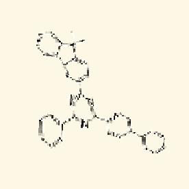 CC1(C)c2ccccc2-c2cc(-c3nc(-c4ccccc4)nc(-c4ccc(-c5ccccc5)cc4)n3)ccc21